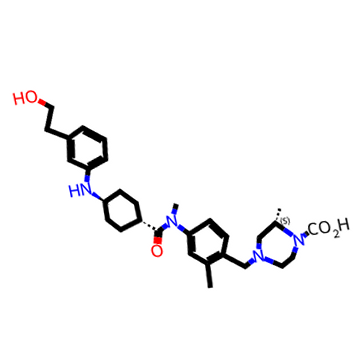 Cc1cc(N(C)C(=O)[C@H]2CC[C@H](Nc3cccc(CCO)c3)CC2)ccc1CN1CCN(C(=O)O)[C@@H](C)C1